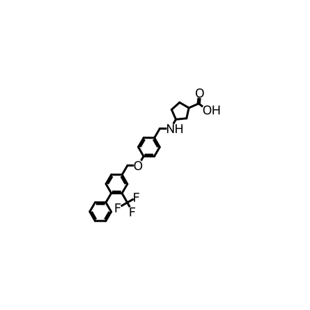 O=C(O)C1CCC(NCc2ccc(OCc3ccc(-c4ccccc4)c(C(F)(F)F)c3)cc2)C1